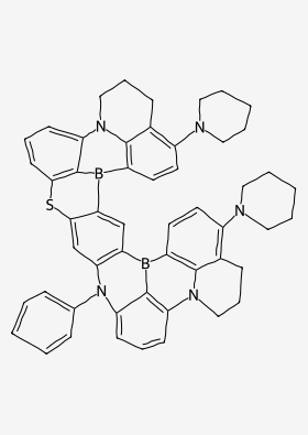 c1ccc(N2c3cc4c(cc3B3c5ccc(N6CCCCC6)c6c5N(CCC6)c5cccc2c53)B2c3ccc(N5CCCCC5)c5c3N(CCC5)c3cccc(c32)S4)cc1